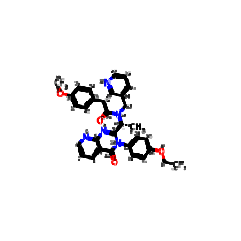 C[C@H](c1nc2ncccc2c(=O)n1-c1ccc(OCC(F)(F)F)cc1)N(Cc1cccnc1)C(=O)Cc1ccc(OC(F)(F)F)cc1